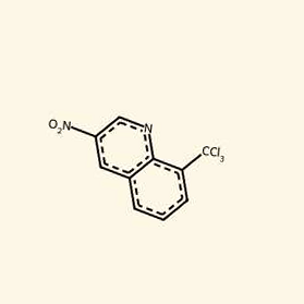 O=[N+]([O-])c1cnc2c(C(Cl)(Cl)Cl)cccc2c1